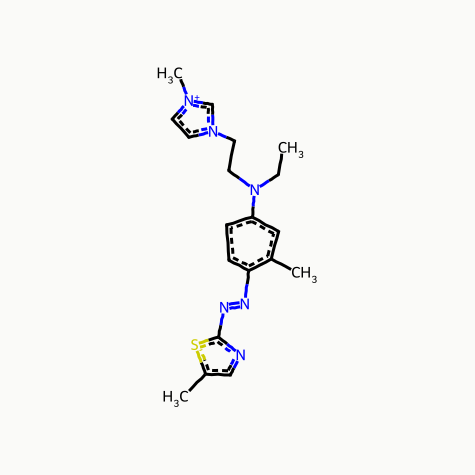 CCN(CCn1cc[n+](C)c1)c1ccc(N=Nc2ncc(C)s2)c(C)c1